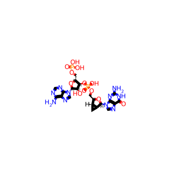 Nc1nc2c(ncn2[C@@H]2O[C@H](COP(=O)(O)O[C@H]3[C@@H](O)[C@H](n4cnc5c(N)ncnc54)O[C@@H]3COP(=O)(O)O)[C@@H]3CC32)c(=O)[nH]1